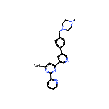 CNc1cc(-c2cncc(-c3ccc(CN4CCN(C)CC4)cc3)c2)nc(-c2ccccn2)n1